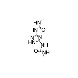 CNC(=O)Nc1n[nH]c(NC(=O)NC)n1